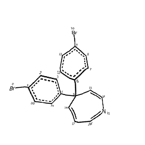 Brc1ccc(C2(c3ccc(Br)cc3)C=[C]N=CC=C2)cc1